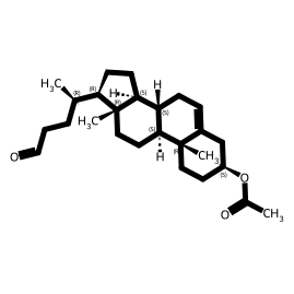 CC(=O)O[C@H]1CC[C@@]2(C)C(=CC[C@H]3[C@@H]4CC[C@H]([C@H](C)CCC=O)[C@@]4(C)CC[C@@H]32)C1